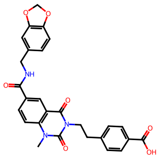 Cn1c(=O)n(CCc2ccc(C(=O)O)cc2)c(=O)c2cc(C(=O)NCc3ccc4c(c3)OCO4)ccc21